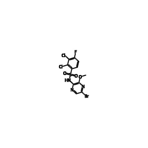 COc1nc(Br)cnc1NS(=O)(=O)c1ccc(F)c(Cl)c1Cl